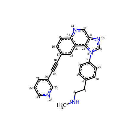 CNCCc1ccc(-n2cnc3cnc4ccc(C#Cc5cccnc5)cc4c32)cc1